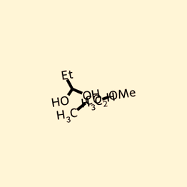 CC(=O)O.CCC(O)O.COC